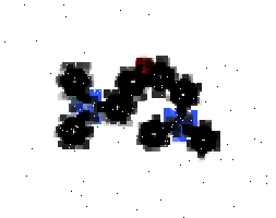 c1ccc(-c2nc(-c3ccccc3)nc(-c3cccc(-c4ccc5oc6ccc(-c7cccc(-c8nc(-c9ccccc9)nc(-c9ccccc9)n8)c7)cc6c5c4)c3)n2)cc1